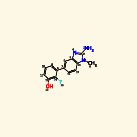 Cn1c(N)nc2cc(-c3cccc(O)c3F)ccc21